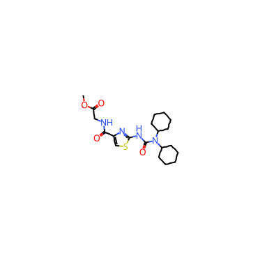 COC(=O)CNC(=O)c1csc(NC(=O)N(C2CCCCC2)C2CCCCC2)n1